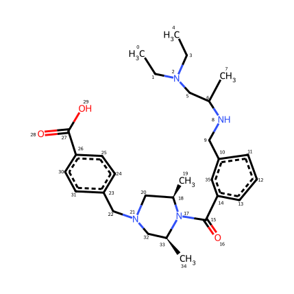 CCN(CC)CC(C)NCc1cccc(C(=O)N2[C@H](C)CN(Cc3ccc(C(=O)O)cc3)C[C@@H]2C)c1